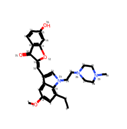 CCc1cc(OC)cc2c(C=C3Oc4cc(O)ccc4C3=O)cn(CCN3CCN(C)CC3)c12